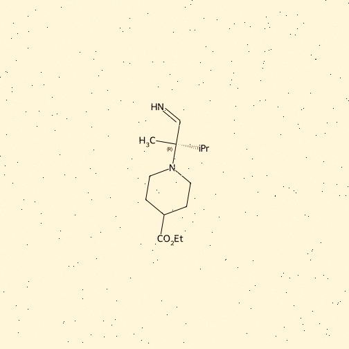 CCOC(=O)C1CCN([C@@](C)(C=N)C(C)C)CC1